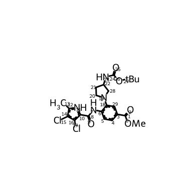 COC(=O)c1ccc(NC(=O)c2[nH]c(C)c(Cl)c2Cl)c(N2CCC(NC(=O)OC(C)(C)C)C2)c1